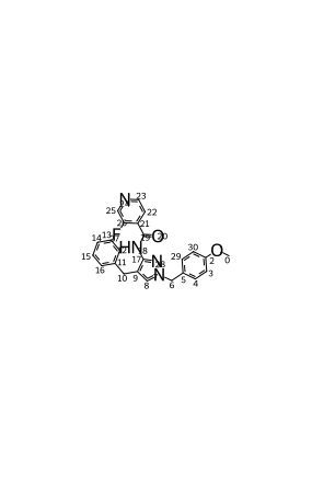 COc1ccc(Cn2cc(Cc3ccccc3)c(NC(=O)c3ccncc3F)n2)cc1